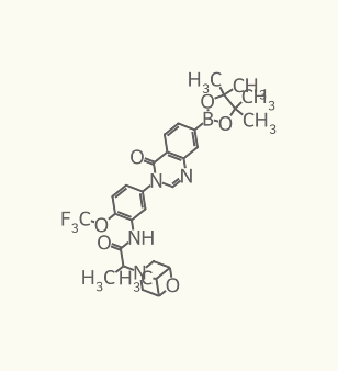 CC1C2CN(C(C)C(=O)Nc3cc(-n4cnc5cc(B6OC(C)(C)C(C)(C)O6)ccc5c4=O)ccc3OC(F)(F)F)CC1O2